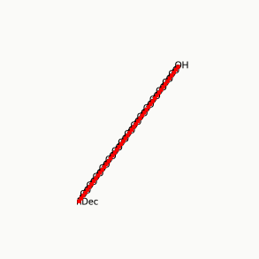 CCCCCCCCCCCCCCOCCOCCOCCOCCOCCOCCOCCOCCOCCOCCOCCOCCOCCOCCOCCOCCOCCOCCOCCOCCOCCOCCOCCOCCOCCOCCOCCOCCOCCOCCO